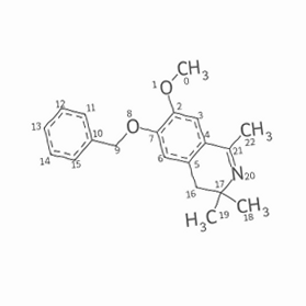 COc1cc2c(cc1OCc1ccccc1)CC(C)(C)N=C2C